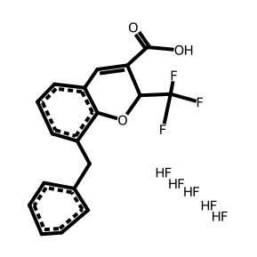 F.F.F.F.F.O=C(O)C1=Cc2cccc(Cc3ccccc3)c2OC1C(F)(F)F